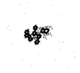 CCc1cc(-c2ccccc2)cc(-c2c(Nc3cc4c(cc3C)C(C)(C)CCC4(C)C)ccc3c2oc2ccccc23)c1Bc1cccc2c1Cc1c-2ccc2ccccc12